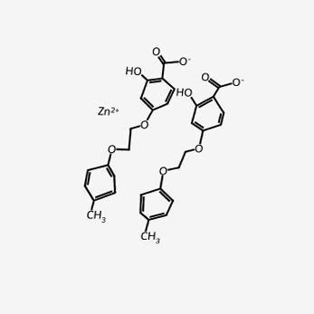 Cc1ccc(OCCOc2ccc(C(=O)[O-])c(O)c2)cc1.Cc1ccc(OCCOc2ccc(C(=O)[O-])c(O)c2)cc1.[Zn+2]